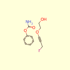 NC(=O)Oc1ccccc1.OCCOC#CCI